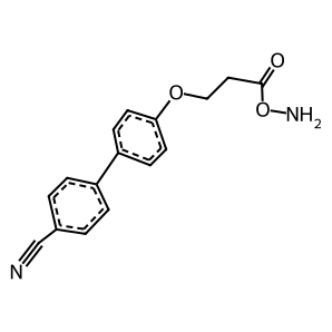 N#Cc1ccc(-c2ccc(OCCC(=O)ON)cc2)cc1